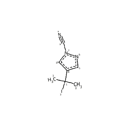 CC(C)(I)c1cnn(C#N)c1